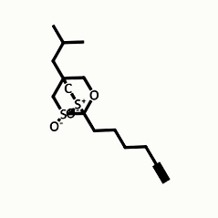 C#CCCCCC12OCC(CC(C)C)(C[S+]1[O-])C[S+]2[O-]